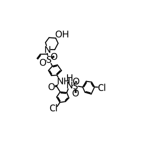 C=CC(N1CCC(O)CC1)S(=O)(=O)c1ccc(NC(=O)c2cc(Cl)ccc2NS(=O)(=O)c2ccc(Cl)cc2)cc1